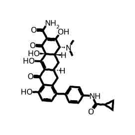 CN(C)[C@H]1C(O)=C(C(N)=O)C(=O)[C@@]2(O)C(O)=C3C(=O)c4c(O)ccc(-c5ccc(NC(=O)C6CC6)cc5)c4C[C@@H]3C[C@@H]12